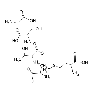 CC(N)C(=O)O.CC(O)C(N)C(=O)O.CSCCC(N)C(=O)O.NC(CO)C(=O)O.NCC(=O)O